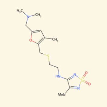 CNC1=NS(=O)(=O)N=C1NCCSCc1oc(CN(C)C)cc1C